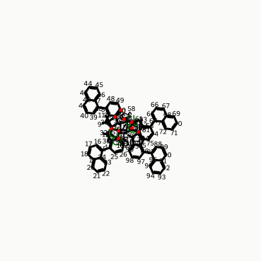 C[SiH](C)[Zr]([Cl])([Cl])([CH]1C(C(C)(C)C)=Cc2c(-c3cccc4ccccc34)cccc21)([CH]1C(C(C)(C)C)=Cc2c(-c3cccc4ccccc34)cccc21)[Zr]([Cl])([Cl])([CH]1C([Si](C)(C)C)=Cc2c(-c3cccc4ccccc34)cccc21)([CH]1C([Si](C)(C)C)=Cc2c(-c3cccc4ccccc34)cccc21)[SiH](C)C